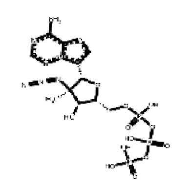 C[C@@]1(N=[N+]=[N-])[C@H](O)[C@@H](COP(=O)(O)OP(=O)(O)OP(=O)(O)O)O[C@H]1c1cnc2c(N)ncnn12